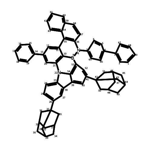 c1ccc(-c2ccc(N3B4c5c(cc(-c6ccccc6)cc5-n5c6ccc(C78CC9CC(CC(C9)C7)C8)cc6c6cc(C78CC9CC(CC(C9)C7)C8)cc4c65)-c4c3ccc3ccccc43)cc2)cc1